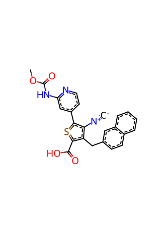 [C-]#[N+]c1c(-c2ccnc(NC(=O)OC)c2)sc(C(=O)O)c1Cc1ccc2ccccc2c1